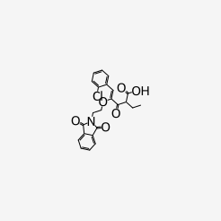 CCC(C(=O)O)C(=O)/C(=C/c1ccccc1Cl)OCCN1C(=O)c2ccccc2C1=O